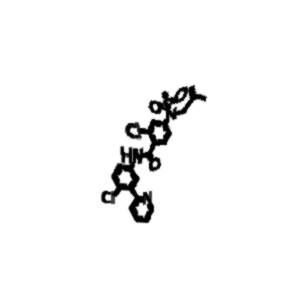 CC(C)CN(c1ccc(C(=O)Nc2ccc(Cl)c(-c3ccccn3)c2)c(Cl)c1)S(C)(=O)=O